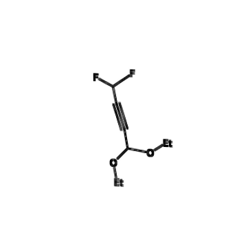 CCOC(C#CC(F)F)OCC